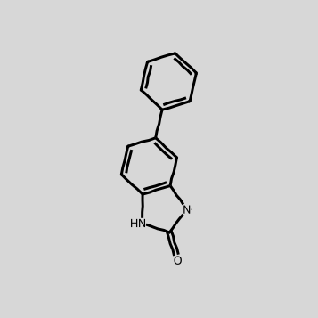 O=C1[N]c2cc(-c3ccccc3)ccc2N1